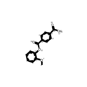 COc1ccccc1OC(=O)c1ccc(C(=O)O)cc1